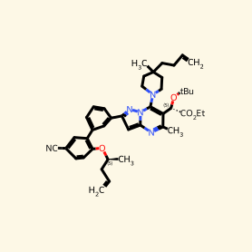 C=CCCC1(C)CCN(c2c([C@H](OC(C)(C)C)C(=O)OCC)c(C)nc3cc(-c4cccc(-c5cc(C#N)ccc5O[C@@H](C)CC=C)c4)nn23)CC1